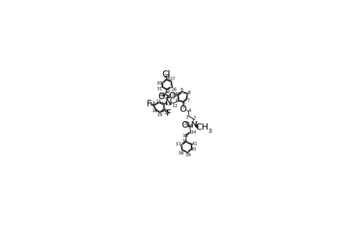 CN(CCCOc1ccccc1CN(c1cc(F)ccc1F)S(=O)(=O)c1ccc(Cl)cc1)C(=O)C=Cc1ccccc1